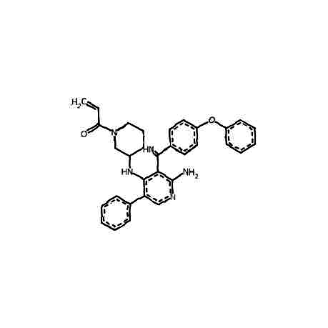 C=CC(=O)N1CCCC(Nc2c(-c3ccccc3)cnc(N)c2C(=N)c2ccc(Oc3ccccc3)cc2)C1